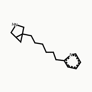 c1ccc(CCCCCCC23CNCC2C3)nc1